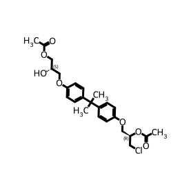 CC(=O)OC[C@@H](O)COc1ccc(C(C)(C)c2ccc(OC[C@H](CCl)OC(C)=O)cc2)cc1